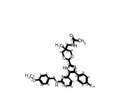 COc1ccc(CNc2nccc(-c3[nH]c(C4OCC(C)(CNC(C)=O)CO4)nc3-c3ccc(F)cc3)n2)cc1